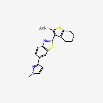 CC(=O)Nc1sc2c(c1-c1nc3ccc(-c4ccn(C)n4)cc3s1)CCCC2